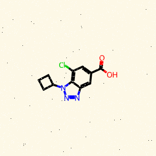 O=C(O)c1cc(Cl)c2c(c1)nnn2C1CCC1